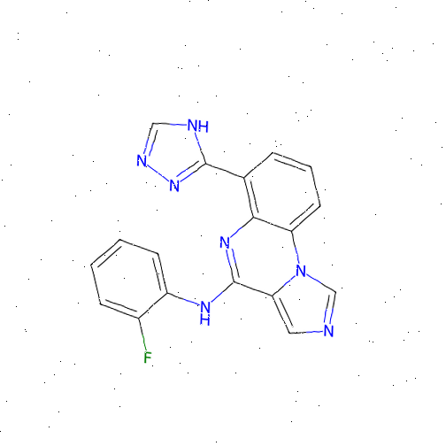 Fc1ccccc1Nc1nc2c(-c3nnc[nH]3)cccc2n2cncc12